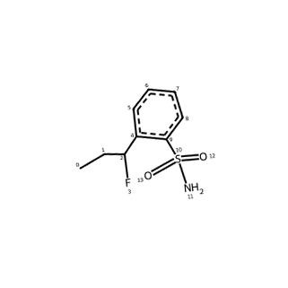 CCC(F)c1ccccc1S(N)(=O)=O